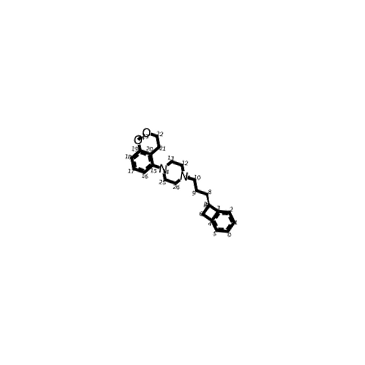 c1ccc2c(c1)C[C@H]2CCCN1CCN(c2cccc3c2CCOO3)CC1